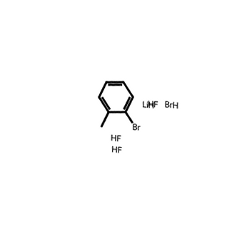 Br.Cc1ccccc1Br.F.F.F.[LiH]